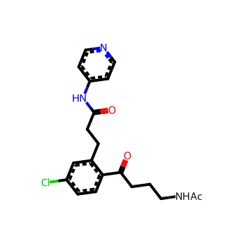 CC(=O)NCCCC(=O)c1ccc(Cl)cc1CCC(=O)Nc1ccncc1